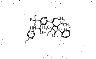 C=NC1=C(/C(=C\C)c2ccc(C(F)(F)F)c(C(=O)Nc3ccc(F)cc3)c2)C(C)(C)C(=O)N1c1ccccn1